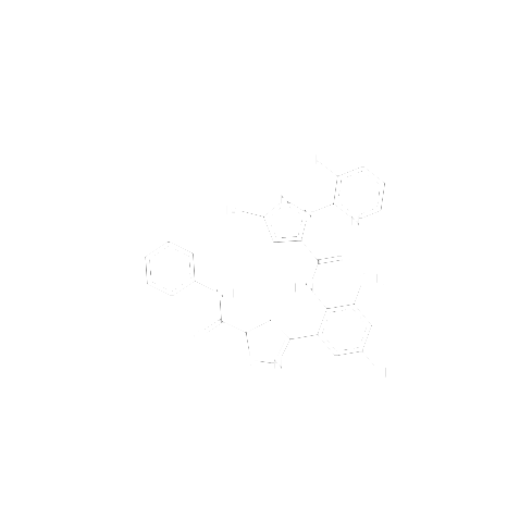 Cc1cc(Cl)cc(C2=NOC(C(=O)Nc3ccccc3)C2)c1NC(=O)c1cc(Br)nn1-c1ncccc1Cl